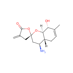 C=C1C[C@@]2(C[C@H](N)[C@H]3CC=C(C)[C@@H](O)[C@@H]3O2)OC1=O